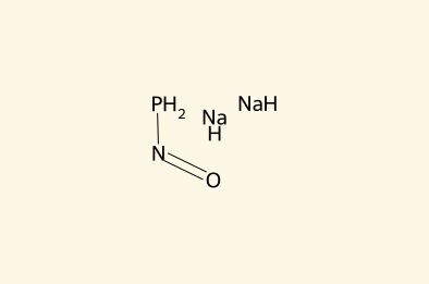 O=NP.[NaH].[NaH]